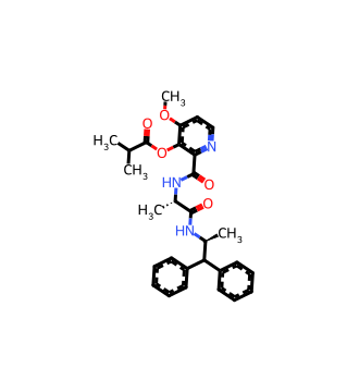 COc1ccnc(C(=O)N[C@@H](C)C(=O)N[C@@H](C)C(c2ccccc2)c2ccccc2)c1OC(=O)C(C)C